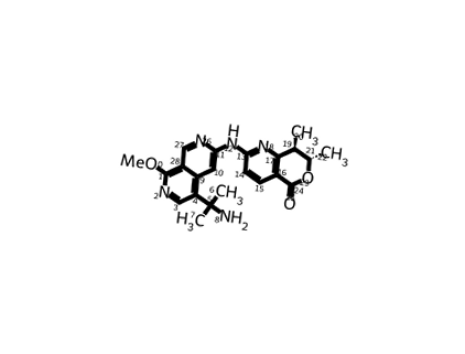 COc1ncc(C(C)(C)N)c2cc(Nc3ccc4c(n3)[C@@H](C)[C@H](C)OC4=O)ncc12